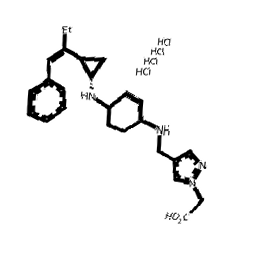 CCC(=Cc1ccccc1)C1C[C@@H]1NC1CCC(NCc2cnn(CC(=O)O)c2)CC1.Cl.Cl.Cl.Cl